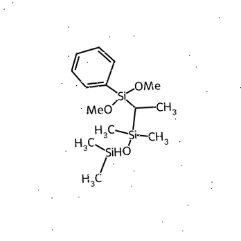 CO[Si](OC)(c1ccccc1)C(C)[Si](C)(C)O[SiH](C)C